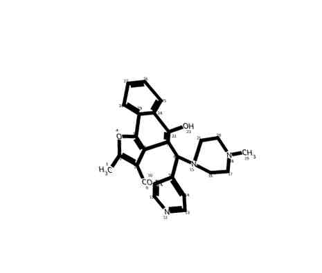 CCOC(=O)c1c(C)oc2c1c(C(c1ccncc1)N1CCN(C)CC1)c(O)c1ccccc12